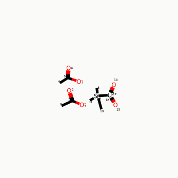 CC(=O)[O-].CC(=O)[O-].C[Si](C)(C)[U+2](=[O])=[O]